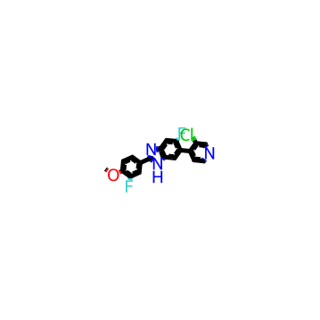 COc1ccc(-c2nc3cc(F)c(-c4ccncc4Cl)cc3[nH]2)cc1F